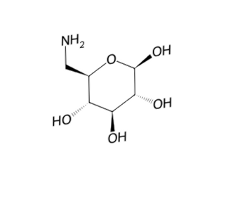 NC[C@H]1O[C@@H](O)[C@H](O)[C@@H](O)[C@@H]1O